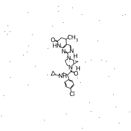 C[C@@H]1CC(=O)Nc2nc(N3CCN(C(=O)C(CNC4CC4)c4ccc(Cl)cc4)[C@@H]4C[C@@H]43)ncc21